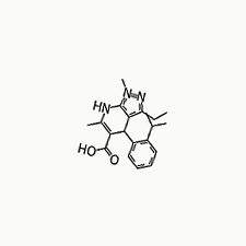 CCc1nn(C)c2c1C(c1ccccc1C(C)C)C(C(=O)O)=C(C)N2